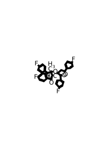 CC(CC(=O)c1ccc(F)cc1)(OC(C)(CC(=O)c1ccc(F)cc1)C(=O)c1ccc(F)cc1)C(=O)c1ccc(F)cc1